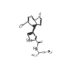 CC(C)NC(=O)c1cc(-c2c(Cl)cnc3[nH]ccc23)c[nH]1